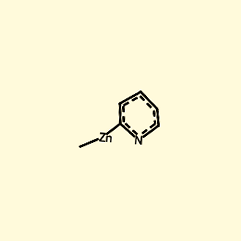 [CH3][Zn][c]1ccccn1